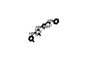 Cc1cccc(Nc2nc(C)nc(Nc3cc(CC(=O)Nc4ccccc4)[nH]n3)n2)c1